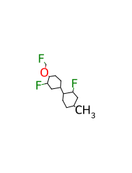 CC1CCC(C2CCC(OCF)C(F)C2)C(F)C1